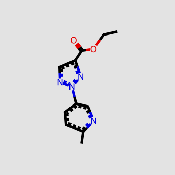 CCOC(=O)c1cnn(-c2ccc(C)nc2)n1